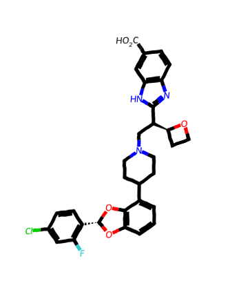 O=C(O)c1ccc2nc(C(CN3CCC(c4cccc5c4O[C@@H](c4ccc(Cl)cc4F)O5)CC3)[C@@H]3CCO3)[nH]c2c1